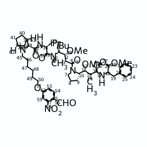 CC[C@H](C)[C@@H]([C@@H](CC(=O)N1CCC[C@H]1[C@H](OC)[C@@H](C)C(=O)NC(Cc1ccccc1)C(=O)OC)OC)N(C)C(=O)[C@@H](NC(=O)[C@@H]1[C@H]2CC[C@H](C2)N1CCCCCCOc1ccc(C=O)c([N+](=O)[O-])c1)C(C)C